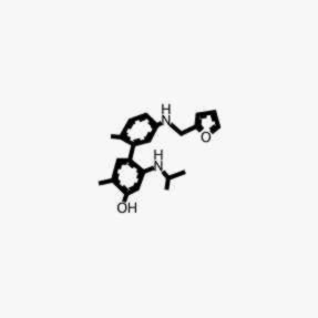 Cc1cc(-c2cc(NCc3ccco3)ccc2C)c(NC(C)C)cc1O